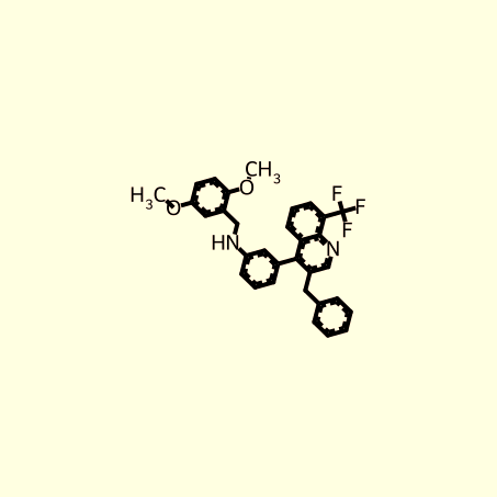 COc1ccc(OC)c(CNc2cccc(-c3c(Cc4ccccc4)cnc4c(C(F)(F)F)cccc34)c2)c1